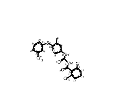 Cc1cc(NC(=O)NC(=O)c2c(Cl)cccc2Cl)cnc1Sc1cccc(C(F)(F)F)c1